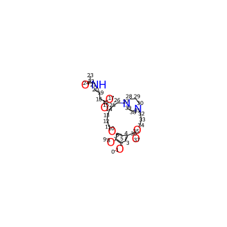 COc1cc2cc(c1OC)OCCCC(OC(=O)CCCNC(C)=O)CCN1CCCN(CCCOC2=O)CC1